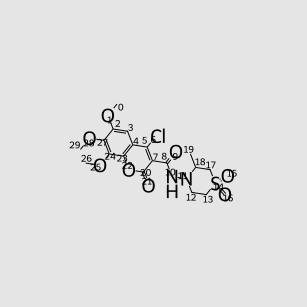 COc1cc2c(Cl)c(C(=O)NN3CCS(=O)(=O)CC3C)c(=O)oc2c(OC)c1OC